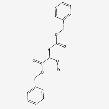 CCO[C@H](CC(=O)OCc1ccccc1)C(=O)OCc1ccccc1